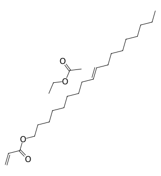 C=CC(=O)OCCCCCCCCC=CCCCCCCCC.CCOC(C)=O